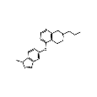 CCCN1CCc2c(ncnc2Oc2ccc3c(ccn3C)c2)C1